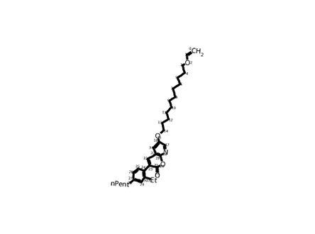 C=COCCCCCCCCCCCCOc1cnc2oc(=O)c(-c3ccc(CCCCC)cc3CC)cc2c1